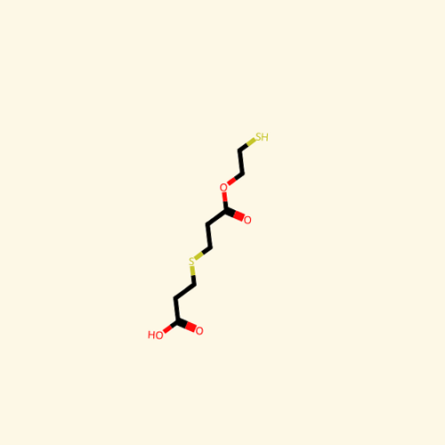 O=C(O)CCSCCC(=O)OCCS